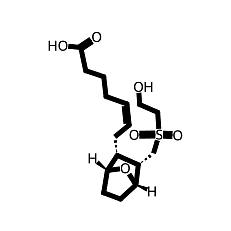 O=C(O)CCC/C=C\C[C@@H]1[C@H](CS(=O)(=O)CCO)[C@@H]2CC[C@H]1O2